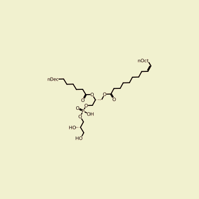 CCCCCCCC/C=C\CCCCCCCC(=O)OC[C@H](COP(=O)(O)OC[C@@H](O)CO)OC(=O)CCCCCCCCCCCCCCC